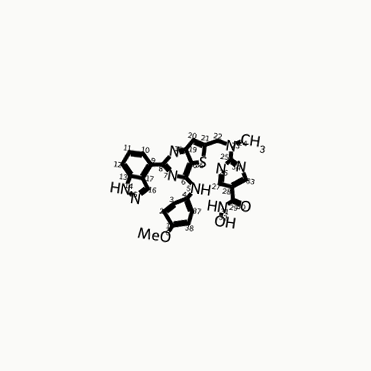 COc1ccc(Nc2nc(-c3cccc4[nH]ncc34)nc3cc(CN(C)c4ncc(C(=O)NO)cn4)sc23)cc1